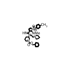 CNc1c(C(=N)N(CCN2CCCCC2)C2CCCN(C(=O)OCc3ccccc3)C2)ccn1S(=O)(=O)c1ccc(C)cc1